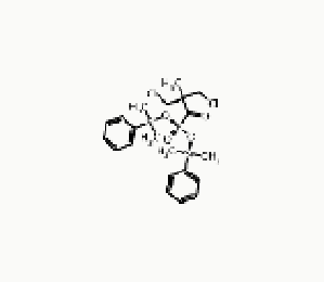 CC(CCl)(CCl)C(=O)P(=O)(O[Si](C)(C)c1ccccc1)O[Si](C)(C)c1ccccc1